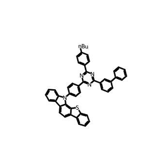 CCCCc1ccc(-c2nc(-c3ccc(-n4c5ccccc5c5ccc6c7ccccc7sc6c54)cc3)nc(-c3cccc(-c4ccccc4)c3)n2)cc1